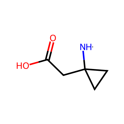 [NH]C1(CC(=O)O)CC1